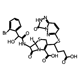 O=C(O)CCC(Sc1ccc2n[nH]c(=O)n2n1)C1=C(C(=O)O)N2C(=O)C(NC(=O)C(O)c3ccccc3Br)[C@@H]2SC1